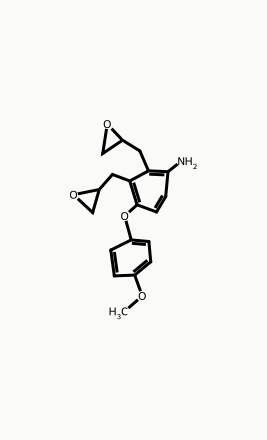 COc1ccc(Oc2ccc(N)c(CC3CO3)c2CC2CO2)cc1